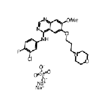 COc1cc2ncnc(Nc3ccc(F)c(Cl)c3)c2cc1OCCCN1CCOCC1.O=[Se](=O)([O-])[O-].[Na+].[Na+]